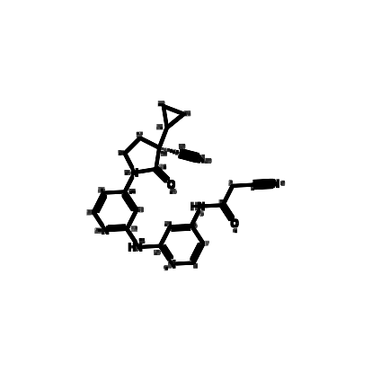 N#CCC(=O)Nc1ccnc(Nc2cc(N3CC[C@@](C#N)(C4CC4)C3=O)ccn2)c1